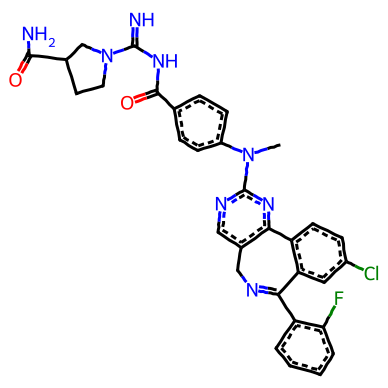 CN(c1ccc(C(=O)NC(=N)N2CCC(C(N)=O)C2)cc1)c1ncc2c(n1)-c1ccc(Cl)cc1C(c1ccccc1F)=NC2